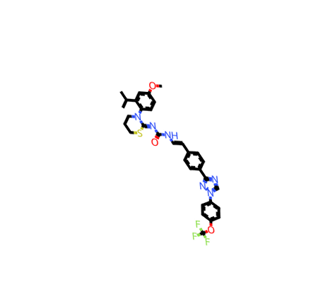 COc1ccc(N2CCCS/C2=N\C(=O)N/C=C/c2ccc(-c3ncn(-c4ccc(OC(F)(F)F)cc4)n3)cc2)c(C(C)C)c1